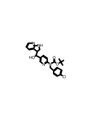 CC(C)(C)OC(=O)N(Cc1ccc(Cl)cc1)c1ccc(C(O)C2CNc3ncccc32)cn1